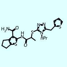 CCCn1c(Cc2cccs2)nnc1SC(C)C(=O)Nc1sc2c(c1C(N)=O)CCC2